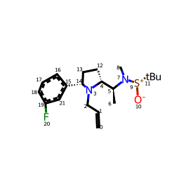 C=CCN1[C@@H]([C@H](C)N(C)[S+]([O-])C(C)(C)C)CC[C@H]1c1cccc(F)c1